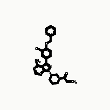 C=CC(=O)N1CCC[C@H](n2nc(-c3ccc(OCc4ccccn4)c(Cl)c3)c3c(N)ncnc32)C1